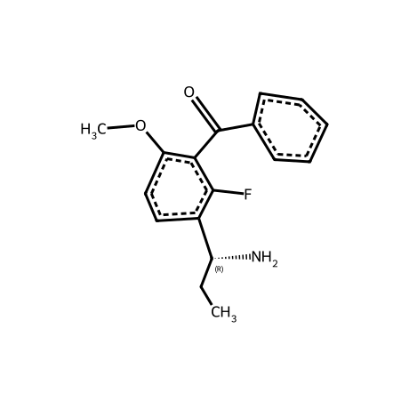 CC[C@@H](N)c1ccc(OC)c(C(=O)c2ccccc2)c1F